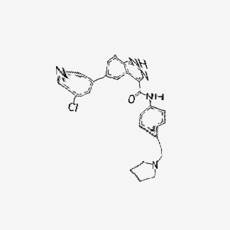 O=C(Nc1ccc(CN2CCCC2)cc1)c1n[nH]c2ccc(-c3cncc(Cl)c3)cc12